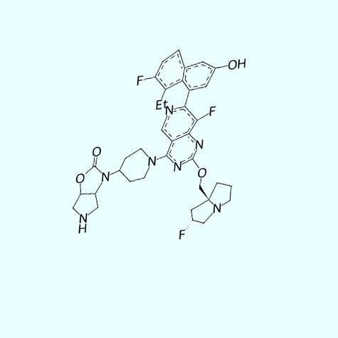 CCc1c(F)ccc2cc(O)cc(-c3ncc4c(N5CCC(N6C(=O)OC7CNCC76)CC5)nc(OC[C@@]56CCCN5C[C@H](F)C6)nc4c3F)c12